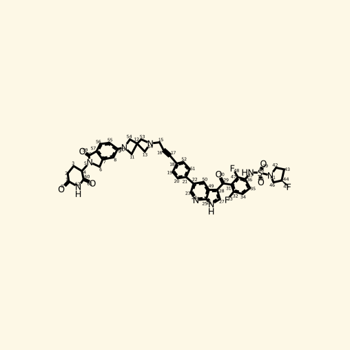 O=C1CCC(N2Cc3cc(N4CC5(CN(CC#Cc6ccc(-c7cnc8[nH]cc(C(=O)c9c(F)ccc(NS(=O)(=O)N%10CC[C@@H](F)C%10)c9F)c8c7)cc6)C5)C4)ccc3C2=O)C(=O)N1